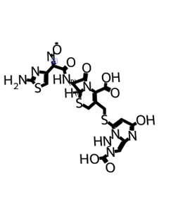 CO/N=C(\C(=O)N[C@@H]1C(=O)N2C(C(=O)O)=C(CSC3=CC(O)=NC4=CN(C(=O)O)NN43)CS[C@H]12)c1csc(N)n1